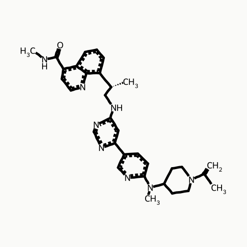 C=C(C)N1CCC(N(C)c2ccc(-c3cc(NC[C@@H](C)c4cccc5c(C(=O)NC)ccnc45)ncn3)cn2)CC1